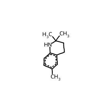 Cc1ccc2c(c1)CCC(C)(C)N2